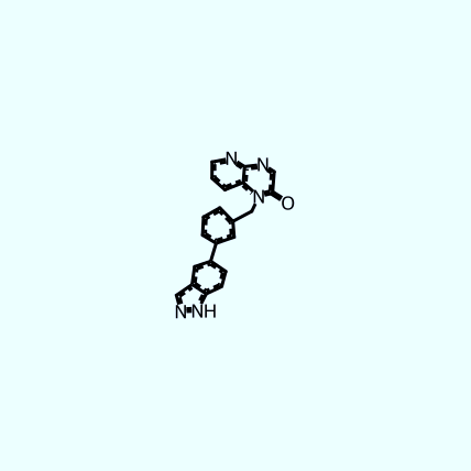 O=c1cnc2ncccc2n1Cc1cccc(-c2ccc3[nH]ncc3c2)c1